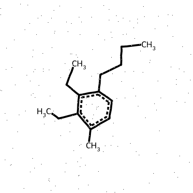 CCCCc1ccc(C)c(CC)c1CC